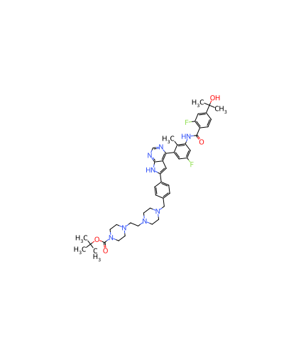 Cc1c(NC(=O)c2ccc(C(C)(C)O)cc2F)cc(F)cc1-c1ncnc2[nH]c(-c3ccc(CN4CCN(CCN5CCN(C(=O)OC(C)(C)C)CC5)CC4)cc3)cc12